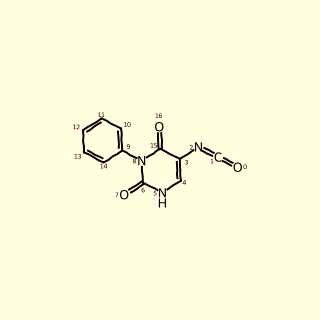 O=C=Nc1c[nH]c(=O)n(-c2ccccc2)c1=O